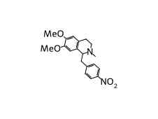 COc1cc2c(cc1OC)C(Cc1ccc([N+](=O)[O-])cc1)N(C)CC2